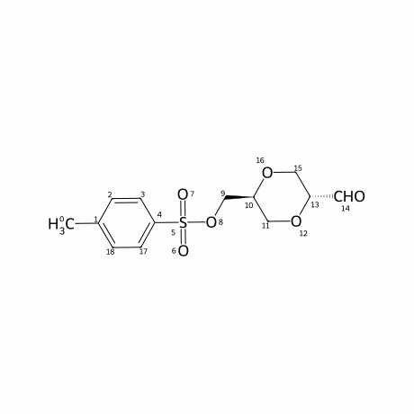 Cc1ccc(S(=O)(=O)OC[C@@H]2CO[C@@H](C=O)CO2)cc1